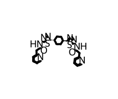 O=C(Cc1ccccn1)Nc1nnc([C@H]2CC[C@H](c3nnc(NC(=O)Cc4ccccn4)s3)CC2)s1